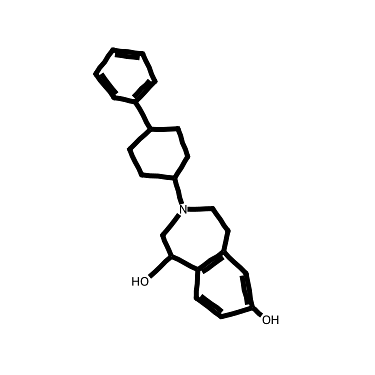 Oc1ccc2c(c1)CCN(C1CCC(c3ccccc3)CC1)CC2O